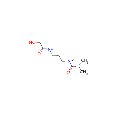 CC(C)C(=O)NCCCNC(=O)CO